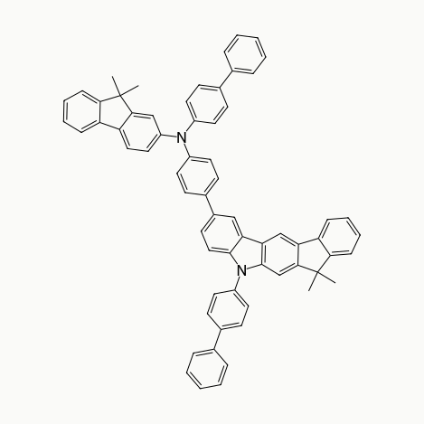 CC1(C)c2ccccc2-c2ccc(N(c3ccc(-c4ccccc4)cc3)c3ccc(-c4ccc5c(c4)c4cc6c(cc4n5-c4ccc(-c5ccccc5)cc4)C(C)(C)c4ccccc4-6)cc3)cc21